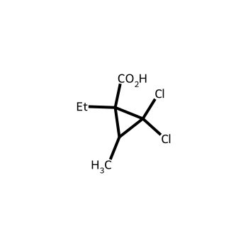 CCC1(C(=O)O)C(C)C1(Cl)Cl